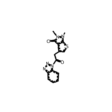 Cn1c(=O)c2c(CC(=O)n3nnc4ccccc43)csc2n1C